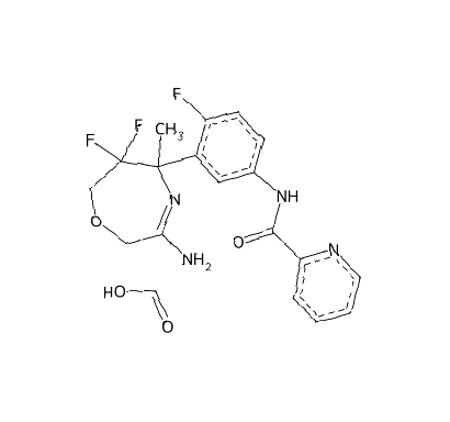 CC1(c2cc(NC(=O)c3ccccn3)ccc2F)N=C(N)COCC1(F)F.O=CO